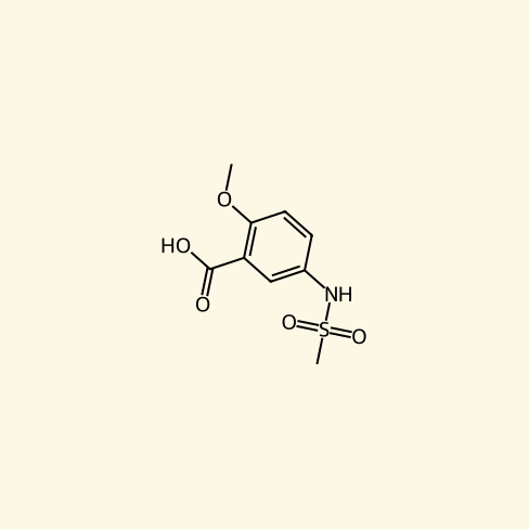 COc1ccc(NS(C)(=O)=O)cc1C(=O)O